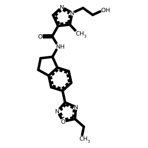 CCc1nc(-c2ccc3c(c2)CCC3NC(=O)c2cnn(CCO)c2C)no1